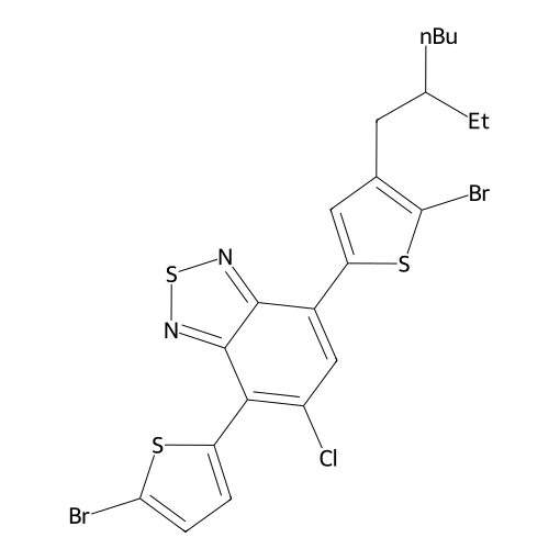 CCCCC(CC)Cc1cc(-c2cc(Cl)c(-c3ccc(Br)s3)c3nsnc23)sc1Br